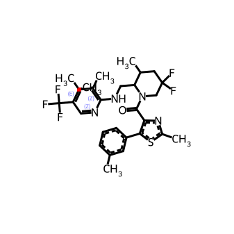 C\C=C(/C=N\C(NCC1C(C)CC(F)(F)CN1C(=O)c1nc(C)sc1-c1cccc(C)c1)=C(\C)CC)C(F)(F)F